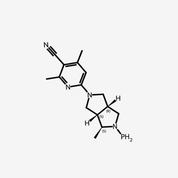 Cc1cc(N2C[C@@H]3CN(P)[C@@H](C)[C@@H]3C2)nc(C)c1C#N